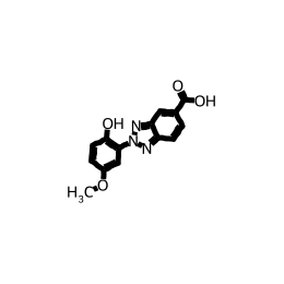 COc1ccc(O)c(-n2nc3ccc(C(=O)O)cc3n2)c1